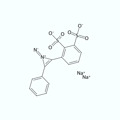 [N-]=[N+]1C(c2ccccc2)=C1c1cccc(S(=O)(=O)[O-])c1S(=O)(=O)[O-].[Na+].[Na+]